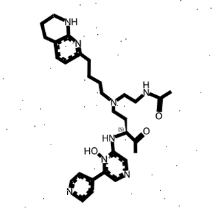 CC(=O)NCCN(CCCCc1ccc2c(n1)NCCC2)CC[C@H](Nc1cncc(-c2ccncc2)[n+]1O)C(C)=O